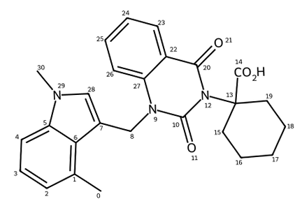 Cc1cccc2c1c(Cn1c(=O)n(C3(C(=O)O)CCCCC3)c(=O)c3ccccc31)cn2C